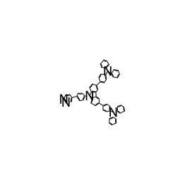 c1ccc(N(c2ccccc2)c2ccc(-c3ccc4c(c3)c3cc(-c5ccc(N(c6ccccc6)c6ccccc6)cc5)ccc3n4-c3ccc(-c4ccnnc4)cc3)cc2)cc1